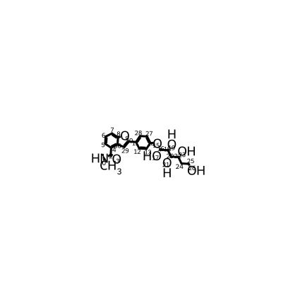 CNC(=O)c1cccc2oc(-c3ccc(OC(O)C(O)C(O)C(O)CCO)cc3)cc12